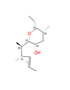 C/C=C/[C@H](C)[C@@H](C)[C@@H]1O[C@H](CC)[C@H](C)C[C@@H]1O